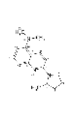 CC1CCCN1c1ccc2c(N(C)C)cccc2n1